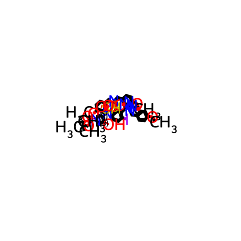 COc1ccc(CN(Cc2ccc(OC)cc2)S(=O)(=O)c2c(N([C@@H]3CN(C(=O)OC(C)(C)C)C[C@@H]3O)[SH](=O)=O)ccc(I)c2-c2nnnn2Cc2ccc(OC)cc2)cc1